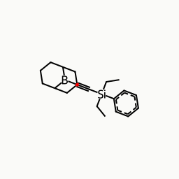 CC[Si](C#CB1C2CCCC1CCC2)(CC)c1ccccc1